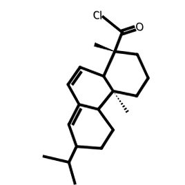 CC(C)C1C=C2C=CC3[C@@](C)(CCC[C@@]3(C)C(=O)Cl)C2CC1